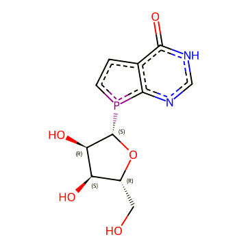 O=c1[nH]cnc2c1ccp2[C@@H]1O[C@H](CO)[C@@H](O)[C@H]1O